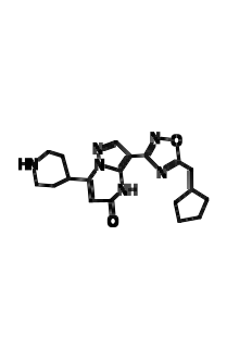 O=c1cc(C2CCNCC2)n2ncc(-c3noc(C=C4CCCC4)n3)c2[nH]1